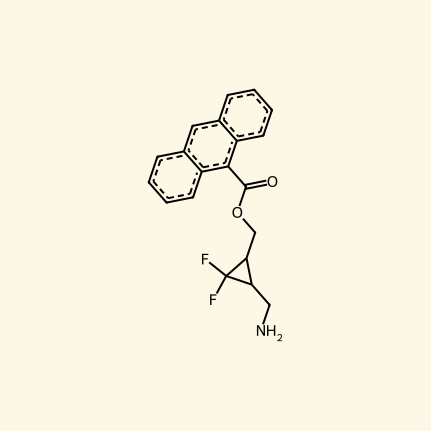 NCC1C(COC(=O)c2c3ccccc3cc3ccccc23)C1(F)F